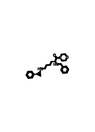 O=C([C@H](CCCCN[C@@H]1C[C@H]1c1ccccc1)NCc1ccccc1)N1CCOCC1